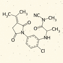 CC(C)=C1CC(=O)N(c2ccc(Cl)c(NC(C)C(=O)N(C)C#N)c2)C1=O